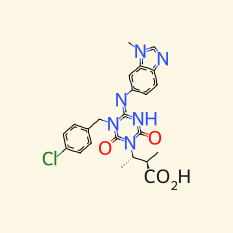 C[C@@H](C(=O)O)[C@H](C)n1c(=O)[nH]/c(=N\c2ccc3ncn(C)c3c2)n(Cc2ccc(Cl)cc2)c1=O